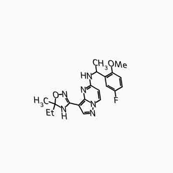 CCC1(C)NC(c2cnn3ccc(NC(C)c4cc(F)ccc4OC)nc23)=NO1